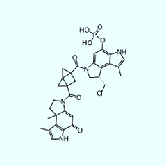 Cc1c[nH]c2c1C1(C)CCN(C(=O)C34CC5(C(=O)N6C[C@@H](CCl)c7c6cc(OP(=O)(O)O)c6[nH]cc(C)c76)CC35C4)C1=CC2=O